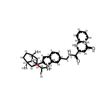 O=C(NCc1ccc2cc(CN3[C@@H]4CC[C@H]3CC(C(F)F)C4)[nH]c2c1)c1cc(=O)n2ccccc2n1